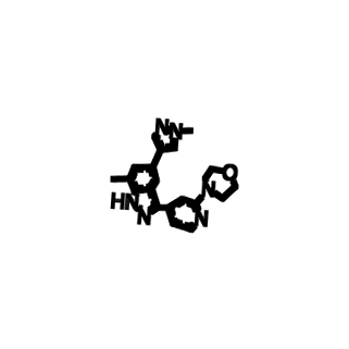 Cc1cc(-c2cnn(C)c2)cc2c(-c3ccnc(N4CCOCC4)c3)n[nH]c12